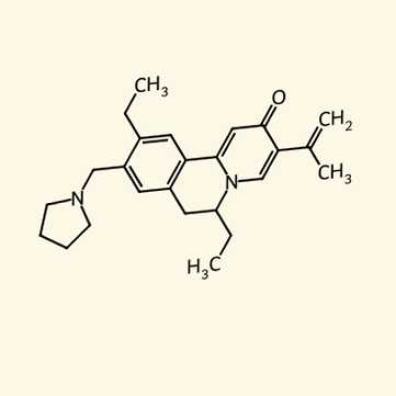 C=C(C)c1cn2c(cc1=O)-c1cc(CC)c(CN3CCCC3)cc1CC2CC